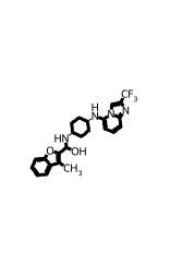 Cc1c(C(O)N[C@H]2CC[C@@H](Nc3cccc4nc(C(F)(F)F)cn34)CC2)oc2ccccc12